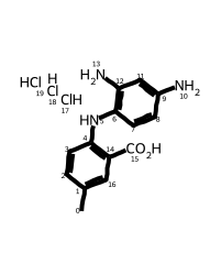 Cc1ccc(Nc2ccc(N)cc2N)c(C(=O)O)c1.Cl.Cl.Cl